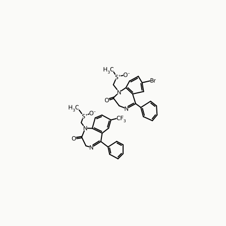 C[S+]([O-])CN1C(=O)CN=C(c2ccccc2)c2cc(Br)ccc21.C[S+]([O-])CN1C(=O)CN=C(c2ccccc2)c2cc(C(F)(F)F)ccc21